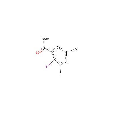 CNC(=O)c1cc(C#N)cc(C)c1I